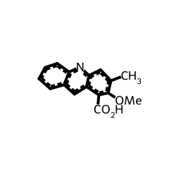 COc1c(C)cc2nc3ccccc3cc2c1C(=O)O